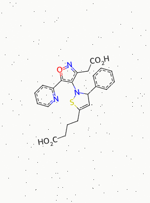 O=C(O)CCCC1=[C]C(c2ccccc2)N(c2c(CC(=O)O)noc2-c2ccccn2)S1